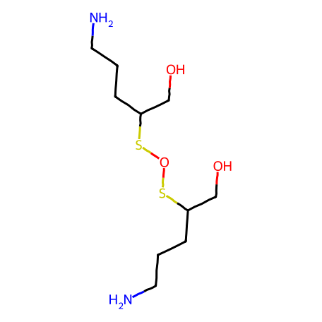 NCCCC(CO)SOSC(CO)CCCN